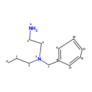 CCCN(CCN)Cc1ccccc1